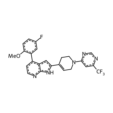 COc1ccc(F)cc1-c1ccnc2[nH]c(C3=CCN(c4cc(C(F)(F)F)ncn4)CC3)cc12